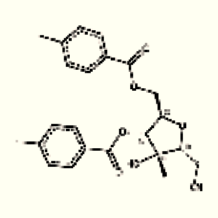 Cc1ccc(C(=O)OC[C@H]2O[C@H](CC#N)[C@](C)(O)[C@@H]2OC(=O)c2ccc(C)cc2)cc1